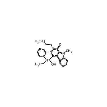 CCN(c1ccccc1)C(O)c1nn(CCOC)c(=O)c2c1c1ccccc1n2C